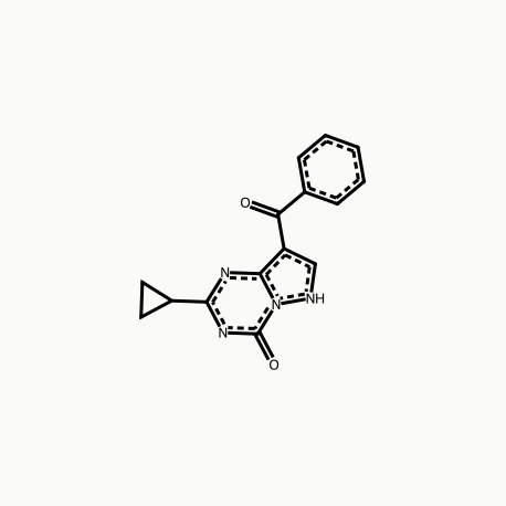 O=C(c1ccccc1)c1c[nH]n2c(=O)nc(C3CC3)nc12